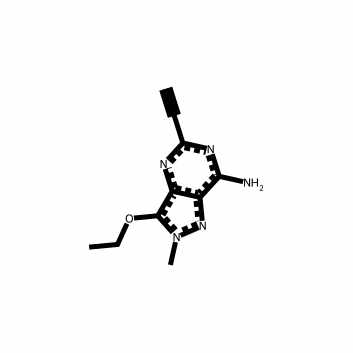 C#Cc1nc(N)c2nn(C)c(OCC)c2n1